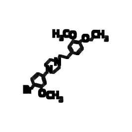 CCOc1ccc(CCN2CCN(c3ccc(Br)c(OC)c3)CC2)cc1OC